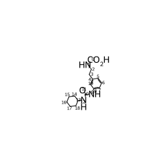 O=C(O)NCCc1cccc(NC(=O)NC2CCCCC2)c1